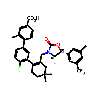 Cc1cc([C@H]2OC(=O)N(CC3=C(c4cc(-c5ccc(C(=O)O)cc5C)ccc4Cl)CCC(C)(C)C3)[C@H]2C)cc(C(F)(F)F)c1